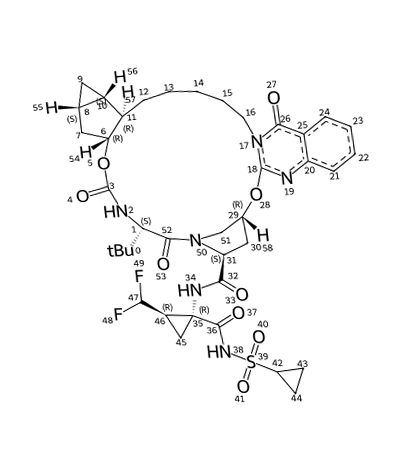 CC(C)(C)[C@@H]1NC(=O)O[C@@H]2C[C@@H]3C[C@@H]3[C@H]2CCCCCn2c(nc3ccccc3c2=O)O[C@@H]2C[C@@H](C(=O)N[C@]3(C(=O)NS(=O)(=O)C4CC4)C[C@H]3C(F)F)N(C2)C1=O